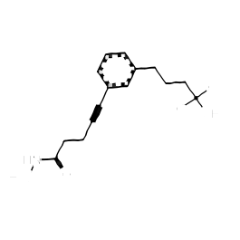 CNC(=O)CCC#Cc1cccc(CC[CH]C(C)(C)C)c1